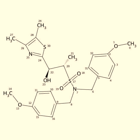 COc1ccc(CN(Cc2ccc(OC)cc2)S(=O)(=O)[C@@H](C)[C@@H](O)c2nc(C)c(C)s2)cc1